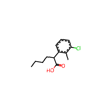 CCCCC(C(=O)O)c1cccc(Cl)c1C